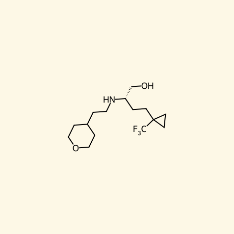 OC[C@H](CCC1(C(F)(F)F)CC1)NCCC1CCOCC1